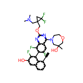 C#Cc1cccc2cc(O)c(F)c(-c3c(F)cc4c(N5CCOCC(C)(O)C5)nc(OCC5(CN(C)C)CC5(F)F)nc4c3F)c12